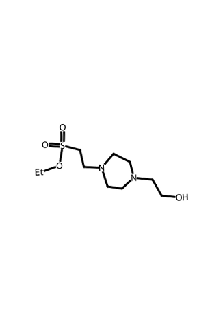 CCOS(=O)(=O)CCN1CCN(CCO)CC1